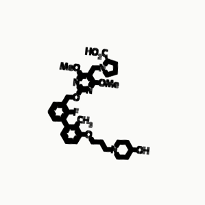 COc1nc(OCc2cccc(-c3cccc(OCCCN4CCC(O)CC4)c3C)c2F)nc(OC)c1CN1CCC[C@H]1C(=O)O